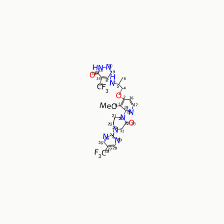 COc1c(OCC(C)Nc2cn[nH]c(=O)c2C(F)(F)F)ccnc1N1CCN(c2ncc(C(F)(F)F)cn2)CC1=O